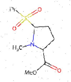 COC(=O)C1CCC(S(=O)(=O)C(C)C)N1C